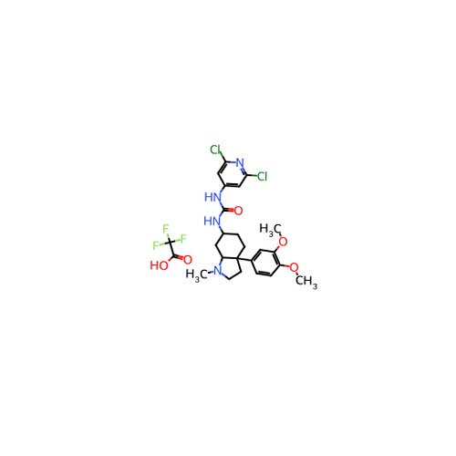 COc1ccc(C23CCC(NC(=O)Nc4cc(Cl)nc(Cl)c4)CC2N(C)CC3)cc1OC.O=C(O)C(F)(F)F